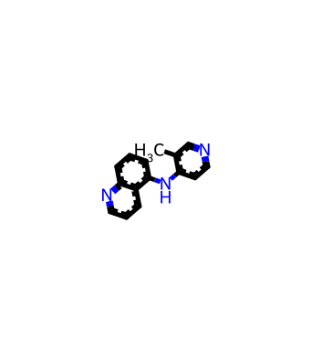 Cc1cnccc1Nc1cccc2ncccc12